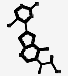 C[C@H](C(=O)O)n1cnn2cc(-c3nc(Cl)ncc3Cl)cc2c1=O